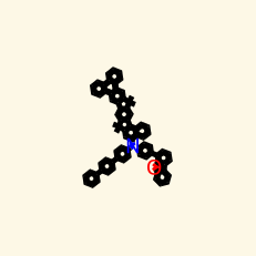 CC1(C)c2cc3c(cc2-c2cc4c5ccccc5c5ccccc5c4cc21)C(C)(C)c1cc(N(c2ccc(-c4ccc(-c5ccccc5)cc4)cc2)c2ccc(-c4cccc5c4oc4ccccc45)cc2)c2ccccc2c1-3